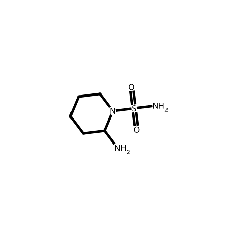 NC1CCCCN1S(N)(=O)=O